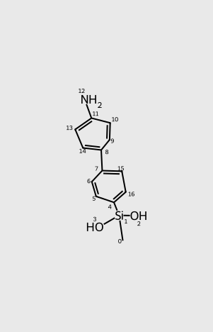 C[Si](O)(O)c1ccc(-c2ccc(N)cc2)cc1